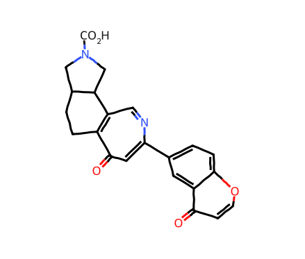 O=C(O)N1CC2CCc3c(cnc(-c4ccc5occc(=O)c5c4)cc3=O)C2C1